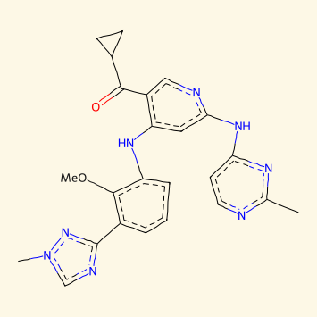 COc1c(Nc2cc(Nc3ccnc(C)n3)ncc2C(=O)C2CC2)cccc1-c1ncn(C)n1